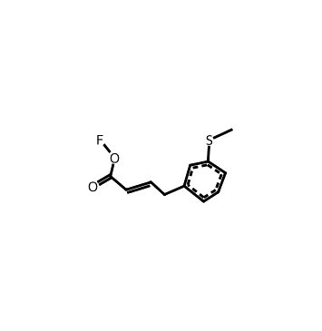 CSc1cccc(CC=CC(=O)OF)c1